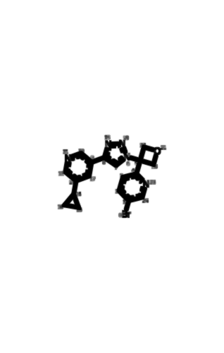 Brc1ccc(C2(n3cc(-c4cncc(C5CC5)c4)nn3)COC2)nc1